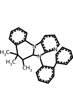 CC1C2N(c3ccccc3C1(C)C)c1cccnc1N2c1ccccc1-c1ccccc1